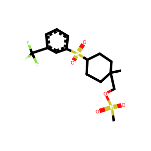 CC1(COS(C)(=O)=O)CCC(S(=O)(=O)c2cccc(C(F)(F)F)c2)CC1